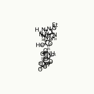 CCOc1nc(N)nc2c1ncn2[C@@H]1O[C@H](COP(=O)(N[C@@H](C)C(=O)OC(C)C)OCc2oc(=O)oc2C)[C@@H](O)[C@@]1(C)N=[N+]=[N-]